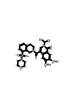 CCC(CC)n1cc(C(=O)N2CCc3cccc(S(=O)(=O)N4CCOCC4)c3C2)c2cc(OC)c(OC)cc2c1=O